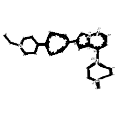 CCN1CCC(c2ccc(-c3cc4c(N5CCN(C)CC5)ccnn4c3)cc2)CC1